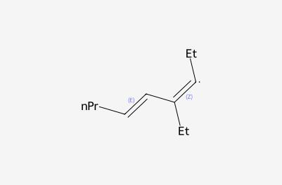 CC/[C]=C(\C=C\CCC)CC